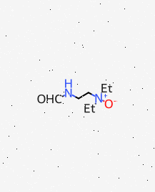 CC[N+]([O-])(CC)CCNC=O